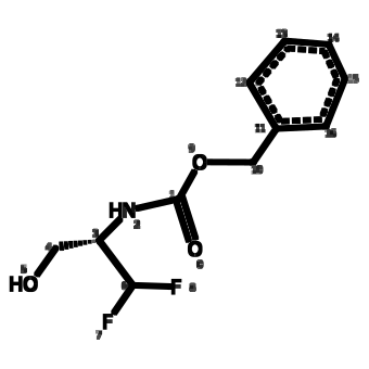 O=C(N[C@@H](CO)C(F)F)OCc1ccccc1